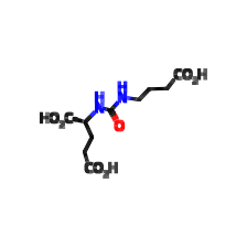 O=C(O)CCCNC(=O)N[C@@H](CCC(=O)O)C(=O)O